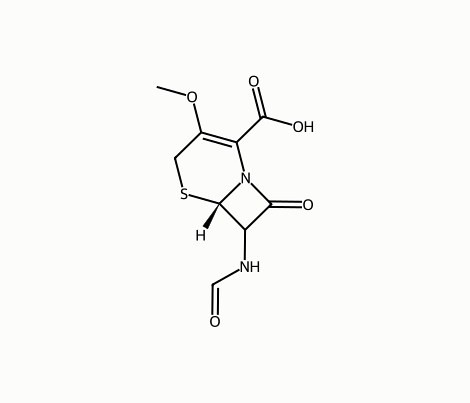 COC1=C(C(=O)O)N2C(=O)C(NC=O)[C@@H]2SC1